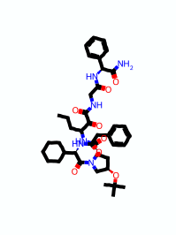 CCCC(NC(=O)[C@@H]1C[C@@H](OC(C)(C)C)CN1C(=O)[C@@H](NC(=O)Cc1ccccc1)C1CCCCC1)C(=O)C(=O)NCC(=O)N[C@H](C(N)=O)c1ccccc1